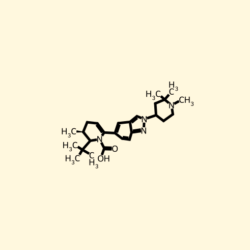 C[C@H]1CC=C(c2ccc3nn(C4CCN(C)C(C)(C)C4)cc3c2)N(C(=O)O)C1C(C)(C)C